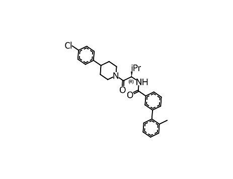 Cc1ccccc1-c1cccc(C(=O)N[C@@H](C(=O)N2CCC(c3ccc(Cl)cc3)CC2)C(C)C)c1